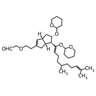 CC(C)=CCC[C@@H](C)CCC=C(OC1CCCCO1)[C@H]1[C@@H]2CC(CCOCC=O)=C[C@@H]2C[C@@H]1OC1CCCCO1